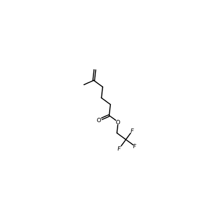 C=C(C)CCCC(=O)OCC(F)(F)F